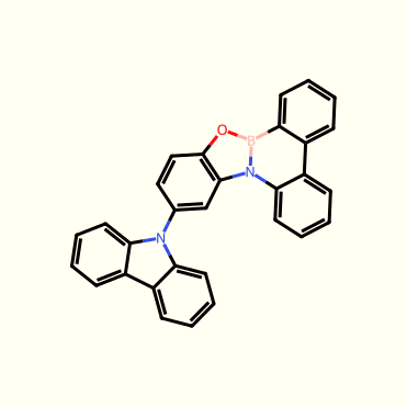 c1ccc2c(c1)B1Oc3ccc(-n4c5ccccc5c5ccccc54)cc3N1c1ccccc1-2